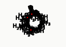 CCCC[C@@H]1NC(=O)[C@H]([C@H](O)C(C)C)NC(=O)[C@@H](NC(=O)OCc2ccccc2)[C@@H](c2ccccc2)NC(=O)C(CO)NC(=O)[C@H](C)NC(=O)CNC(=O)[C@H]([C@H](C)O)NC(=O)[C@H](C(C)CC)NC(=O)[C@@H](CCCNC(=N)N)NC1=O